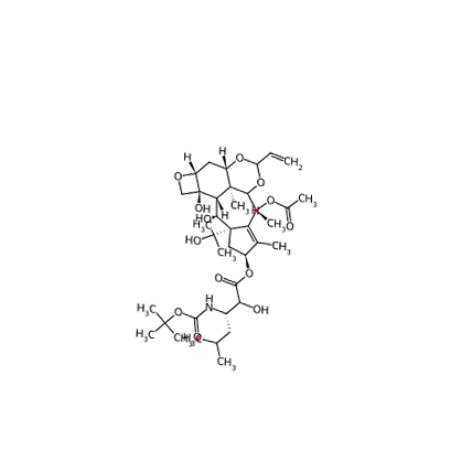 C=CC1O[C@H]2C[C@H]3OC[C@@]3(O)[C@H]3[C@H](O)[C@]4(C(C)(C)O)C[C@H](OC(=O)C(O)[C@H](CC(C)C)NC(=O)OC(C)(C)C)C(C)=C4[C@@](C)(OC(C)=O)[C@H](O1)[C@]23C